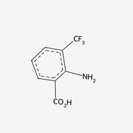 Nc1c(C(=O)O)cccc1C(F)(F)F